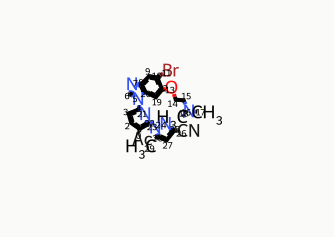 CC(=O)c1ccc(-n2cnc3cc(Br)c(OCCN(C)C)cc32)nc1-n1nc(C#N)cc1C